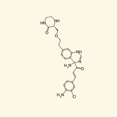 Nc1ccc(C=CC(=O)C2(N)N=CNc3cc(CCOC[C@@H]4NCCNC4=O)ccc32)cc1Cl